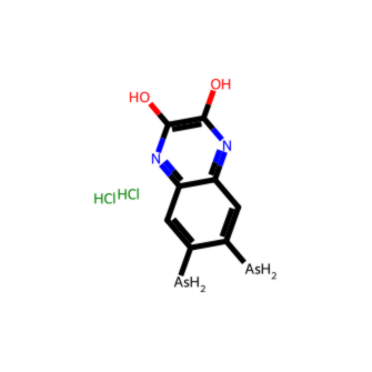 Cl.Cl.Oc1nc2cc([AsH2])c([AsH2])cc2nc1O